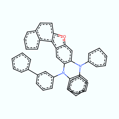 c1ccc(-c2cccc(N(c3ccccc3)c3cc4c(cc3N(c3ccccc3)c3ccccc3)oc3ccc5ccccc5c34)c2)cc1